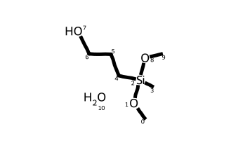 CO[Si](C)(CCCO)OC.O